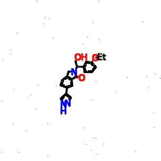 CCOc1cccc(C(CO)N2Cc3ccc(-c4cn[nH]c4)cc3C2=O)c1